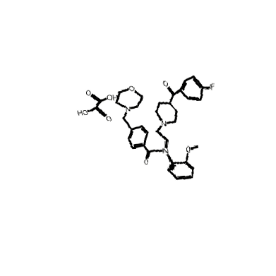 COc1ccccc1N(CCN1CCC(C(=O)c2ccc(F)cc2)CC1)C(=O)c1ccc(CN2CCOCC2)cc1.O=C(O)C(=O)O